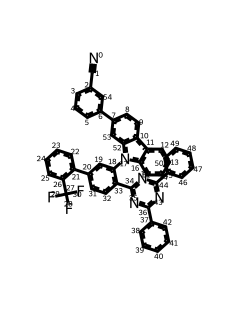 N#Cc1cccc(-c2ccc3c4ccccc4n(-c4cc(-c5ccccc5C(F)(F)F)ccc4-c4nc(-c5ccccc5)nc(-c5ccccc5)n4)c3c2)c1